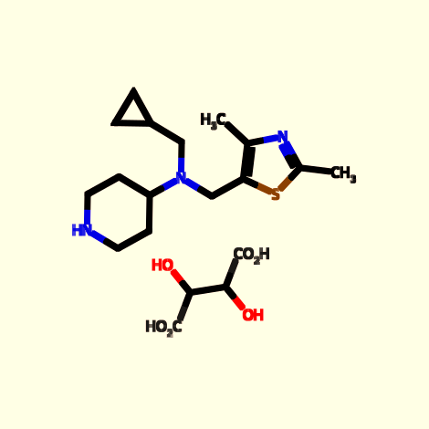 Cc1nc(C)c(CN(CC2CC2)C2CCNCC2)s1.O=C(O)C(O)C(O)C(=O)O